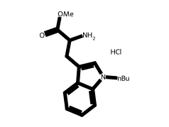 CCCCn1cc(CC(N)C(=O)OC)c2ccccc21.Cl